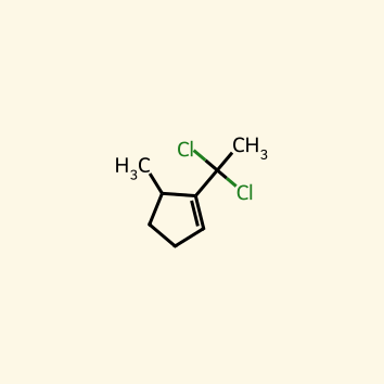 CC1CCC=C1C(C)(Cl)Cl